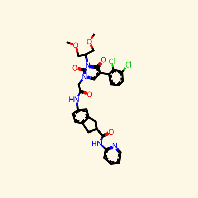 COCC(COC)n1c(=O)c(-c2cccc(Cl)c2Cl)cn(CC(=O)Nc2ccc3c(c2)CC(C(=O)Nc2ccccn2)C3)c1=O